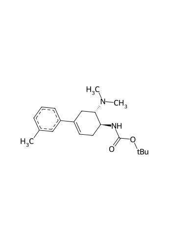 Cc1cccc(C2=CC[C@H](NC(=O)OC(C)(C)C)[C@@H](N(C)C)C2)c1